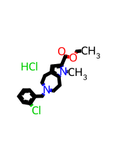 CCOC(=O)c1cc2c(n1C)CCN(Cc1ccccc1Cl)CC2.Cl